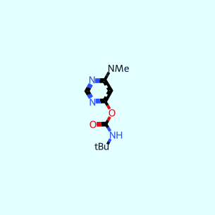 CNc1cc(OC(=O)NC(C)(C)C)ncn1